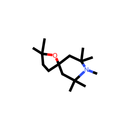 CN1C(C)(C)CC2(CCC(C)(C)O2)CC1(C)C